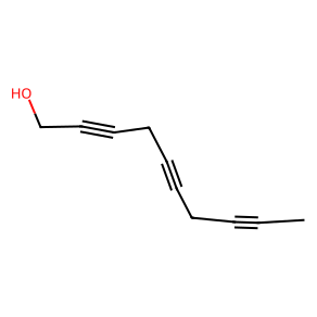 CC#CCC#CCC#CCO